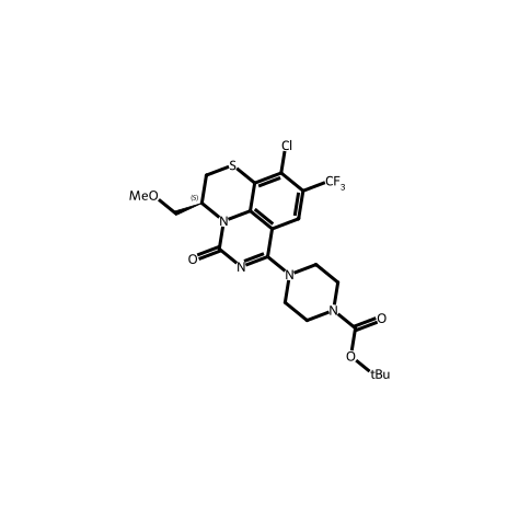 COC[C@H]1CSc2c(Cl)c(C(F)(F)F)cc3c(N4CCN(C(=O)OC(C)(C)C)CC4)nc(=O)n1c23